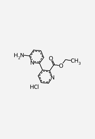 CCOC(=O)c1ncccc1-c1cccc(N)n1.Cl